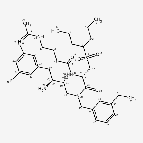 CCCC(CCC)S(=O)(=O)C[C@@H](NC(=O)CCCNC(C)=O)C(=O)N(Cc1cccc(CC)c1)C[C@@H](O)[C@@H](N)Cc1cc(F)cc(F)c1